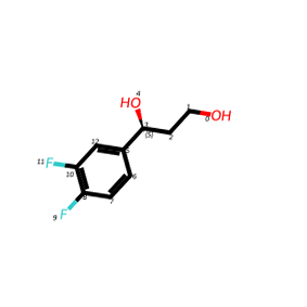 OCC[C@H](O)c1ccc(F)c(F)c1